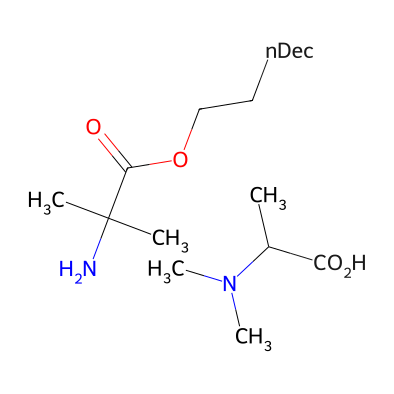 CC(C(=O)O)N(C)C.CCCCCCCCCCCCOC(=O)C(C)(C)N